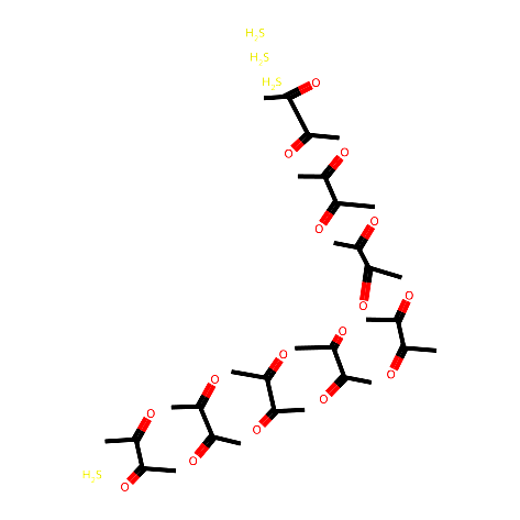 CC(=O)C(C)=O.CC(=O)C(C)=O.CC(=O)C(C)=O.CC(=O)C(C)=O.CC(=O)C(C)=O.CC(=O)C(C)=O.CC(=O)C(C)=O.CC(=O)C(C)=O.S.S.S.S